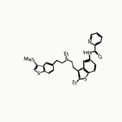 CCc1sc2ccc(NC(=O)c3ccccn3)cc2c1CCN(CC)CCc1ccc2scc(SC)c2c1